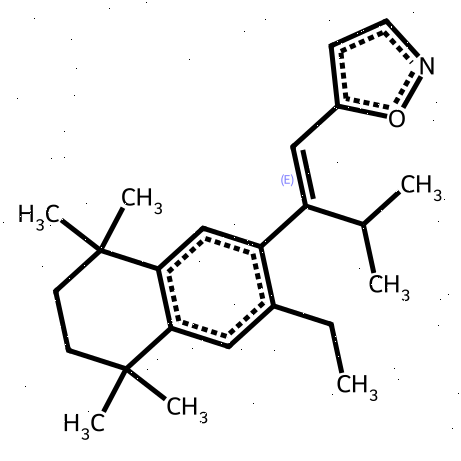 CCc1cc2c(cc1/C(=C/c1ccno1)C(C)C)C(C)(C)CCC2(C)C